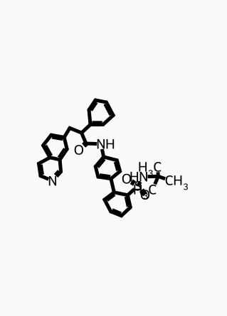 CC(C)(C)NS(=O)(=O)c1ccccc1-c1ccc(NC(=O)C(Cc2ccc3ccncc3c2)c2ccccc2)cc1